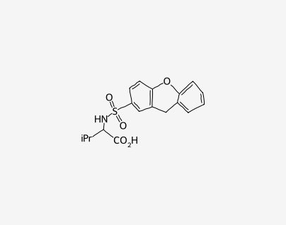 CC(C)C(NS(=O)(=O)c1ccc2c(c1)Cc1ccccc1O2)C(=O)O